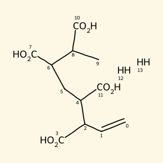 C=CC(C(=O)O)C(CC(C(=O)O)C(C)C(=O)O)C(=O)O.[HH].[HH]